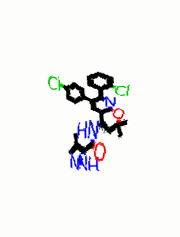 Cc1cn[nH]c1C(=O)N[C@@H]1CC(C)(C)Oc2nc(-c3ccccc3Cl)c(-c3ccc(Cl)cc3)cc21